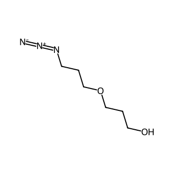 [N-]=[N+]=NCCCOCCCO